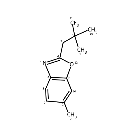 Cc1ccc2nc(CC(C)(C)C(F)(F)F)oc2c1